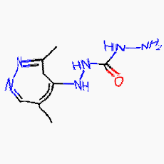 Cc1cnnc(C)c1NNC(=O)NN